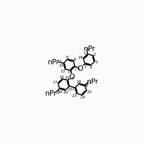 CCCc1cccc(Oc2ccc(CCC)cc2Oc2ccc(CCC)cc2-c2cccc(CCC)c2)c1